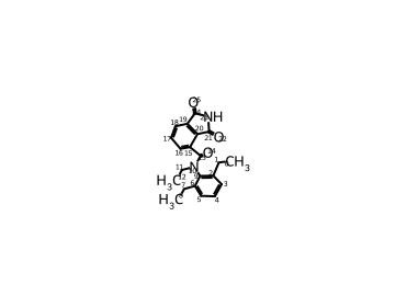 CCc1cccc(CC)c1N(CC)C(=O)c1cccc2c1C(=O)NC2=O